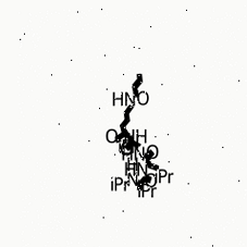 C/C=C/C(=O)NCCCCC(NC(=O)CNC(=O)C(CC(C)C)NC(=O)C(NC(C)C)C(C)C)C(=O)C(C)C